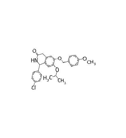 COc1ccc(COc2cc3c(cc2OC(C)C)C(c2ccc(Cl)cc2)NC(=O)C3)cc1